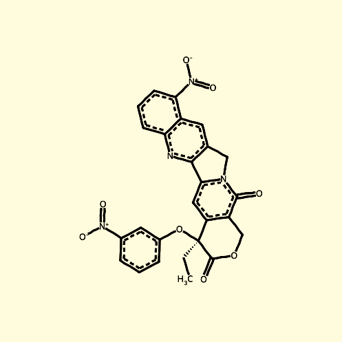 CC[C@@]1(Oc2cccc([N+](=O)[O-])c2)C(=O)OCc2c1cc1n(c2=O)Cc2cc3c([N+](=O)[O-])cccc3nc2-1